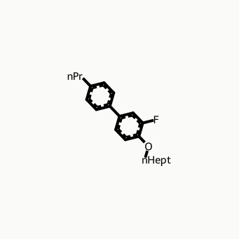 CCCCCCCOc1ccc(-c2ccc(CCC)cc2)cc1F